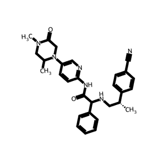 CC1CN(C)C(=O)CN1c1ccc(NC(=O)C(NC[C@@H](C)c2ccc(C#N)cc2)c2ccccc2)nc1